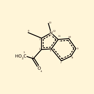 Cc1c(C(=O)C(=O)O)c2ccccc2n1C